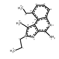 CCCn1nc2c(N)nc3cccc(CC)c3c2c1N